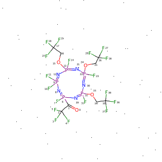 O=C(C(F)(F)F)P1(F)=NP(F)(F)=NP(F)(OCC(F)(F)F)=NP(F)(OCC(F)(F)F)=NP(F)(OCC(F)(F)F)=N1